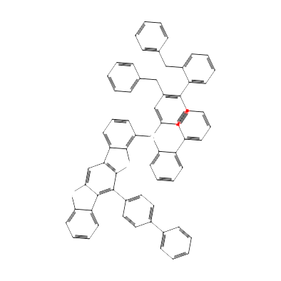 c1ccc(Cc2ccccc2-c2ccc(N(c3ccccc3-c3ccccc3)c3cccc4c3oc3c(-c5ccc(-c6ccccc6)cc5)c5c(cc34)oc3ccccc35)cc2Cc2ccccc2)cc1